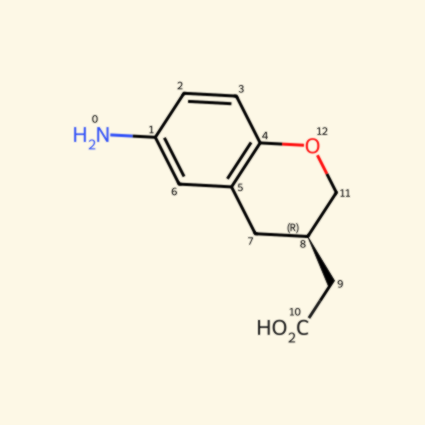 Nc1ccc2c(c1)C[C@H](CC(=O)O)CO2